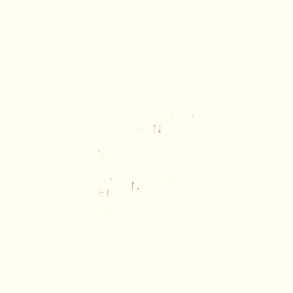 C=CCOC(=O)C1(N(C(=O)CC)c2ccccc2)CCN(CCc2ccccc2)CC1